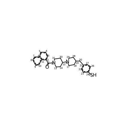 O=C(c1cccc2ccccc12)N1CCC(N2CCC(Cc3ccc(S)cc3)CC2)CC1